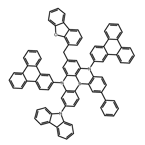 c1ccc(-c2ccc3c(c2)B2c4ccc(-n5c6ccccc6c6ccccc65)cc4N(c4ccc5c6ccccc6c6ccccc6c5c4)c4cc(Cc5cccc6c5oc5ccccc56)cc(c42)N3c2ccc3c4ccccc4c4ccccc4c3c2)cc1